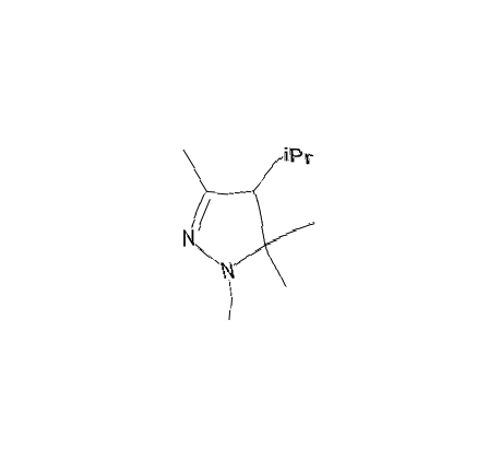 CC1=NN(C)C(C)(C)C1C(C)C